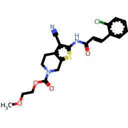 COCCOC(=O)N1CCc2c(sc(NC(=O)C=Cc3ccccc3Cl)c2C#N)C1